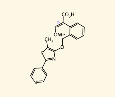 CO/C=C(/C(=O)O)c1ccccc1COc1nc(-c2ccncc2)sc1C